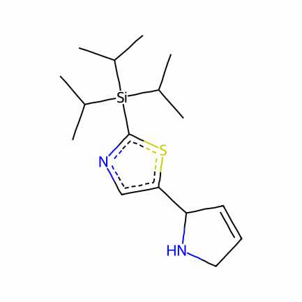 CC(C)[Si](c1ncc(C2C=CCN2)s1)(C(C)C)C(C)C